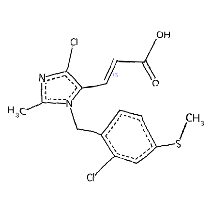 CSc1ccc(Cn2c(C)nc(Cl)c2/C=C/C(=O)O)c(Cl)c1